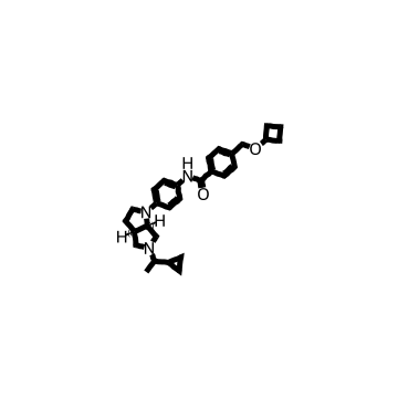 CC(C1CC1)N1C[C@H]2CCN(c3ccc(NC(=O)c4ccc(COC5CCC5)cc4)cc3)[C@H]2C1